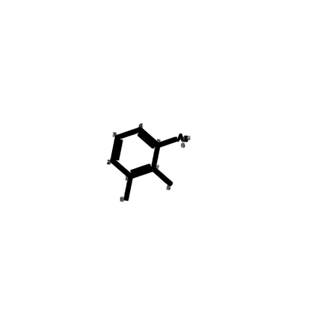 Cc1cccc([As])c1C